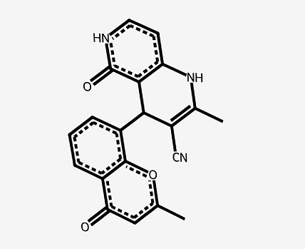 CC1=C(C#N)C(c2cccc3c(=O)cc(C)oc23)c2c(cc[nH]c2=O)N1